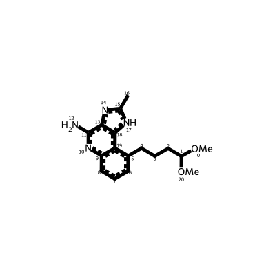 COC(CCCc1cccc2nc(N)c3nc(C)[nH]c3c12)OC